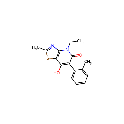 CCn1c(=O)c(-c2ccccc2C)c(O)c2sc(C)nc21